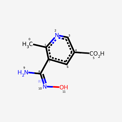 Cc1ncc(C(=O)O)cc1/C(N)=N\O